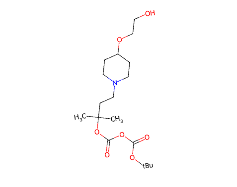 CC(C)(C)OC(=O)OC(=O)OC(C)(C)CCN1CCC(OCCO)CC1